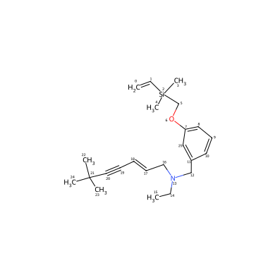 C=C[Si](C)(C)COc1cccc(CN(CC)CC=CC#CC(C)(C)C)c1